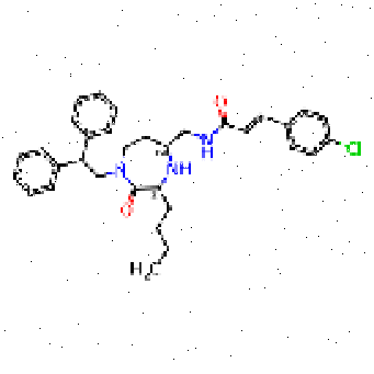 CCCC[C@@H]1N[C@H](CNC(=O)C=Cc2ccc(Cl)cc2)CCN(CC(c2ccccc2)c2ccccc2)C1=O